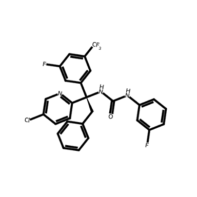 O=C(Nc1cccc(F)c1)N[C@@](Cc1ccccc1)(c1cc(F)cc(C(F)(F)F)c1)c1ccc(Cl)cn1